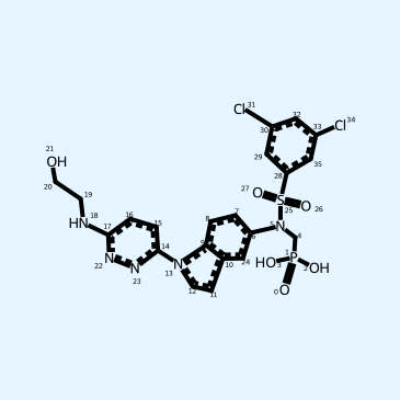 O=P(O)(O)CN(c1ccc2c(ccn2-c2ccc(NCCO)nn2)c1)S(=O)(=O)c1cc(Cl)cc(Cl)c1